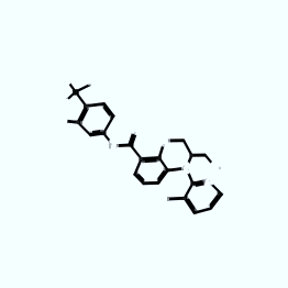 O=C(Nc1ccc(C(F)(F)F)c(F)c1)c1cccc2c1OCC(CO)N2c1ncccc1Cl